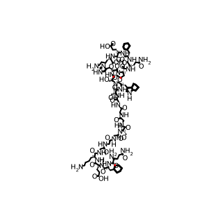 NCCCC[C@H](NC(=O)[C@H](CCC(=O)O)NC(=O)[C@H](Cc1ccccc1)NC(=O)[C@H](CCC(N)=O)NC(=O)[C@@H]1CCCN1C(=O)[C@H](Cc1c[nH]cn1)NC(=O)[C@H](CO)NC(=O)[C@H](Cc1c[nH]c2ccccc12)NC(=O)[C@H](CO)NC(=O)CNC(=O)CNC(=O)CNC(=O)[C@H](CO)NC(=O)CNC(=O)CNC(=O)CNC(=O)[C@H](CCCCN)NC(=O)[C@H](CCC(=O)O)NC(=O)[C@H](Cc1ccccc1)NC(=O)[C@@H](N)CCC(N)=O)C(=O)O